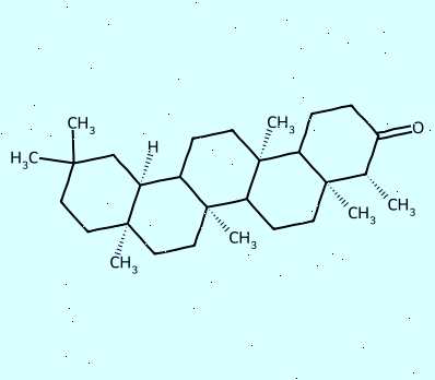 C[C@H]1C(=O)CCC2[C@]3(C)CCC4[C@@H]5CC(C)(C)CC[C@]5(C)CC[C@]4(C)C3CC[C@@]21C